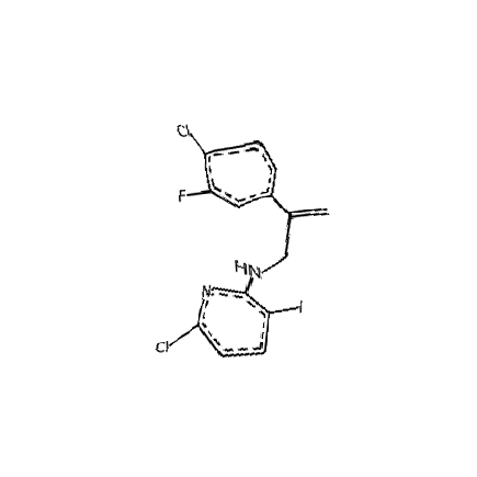 C=C(CNc1nc(Cl)ccc1I)c1ccc(Cl)c(F)c1